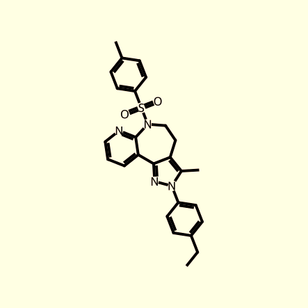 CCc1ccc(-n2nc3c(c2C)CCN(S(=O)(=O)c2ccc(C)cc2)c2ncccc2-3)cc1